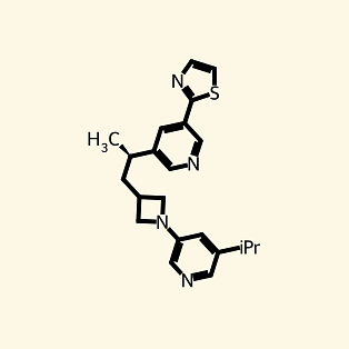 CC(C)c1cncc(N2CC(C[C@@H](C)c3cncc(-c4nccs4)c3)C2)c1